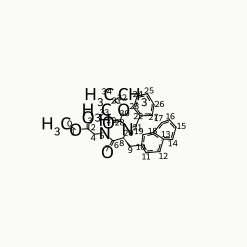 COC(=O)CNC(=O)[C@H](Cc1ccc2ccccc2c1)N(Cc1ccccc1)C(=O)OC(C)(C)C